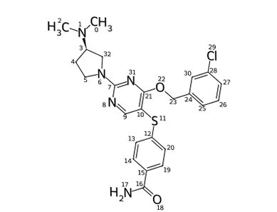 CN(C)[C@@H]1CCN(c2ncc(Sc3ccc(C(N)=O)cc3)c(OCc3cccc(Cl)c3)n2)C1